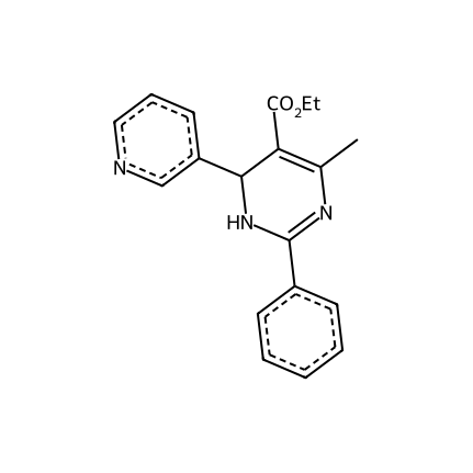 CCOC(=O)C1=C(C)N=C(c2ccccc2)NC1c1cccnc1